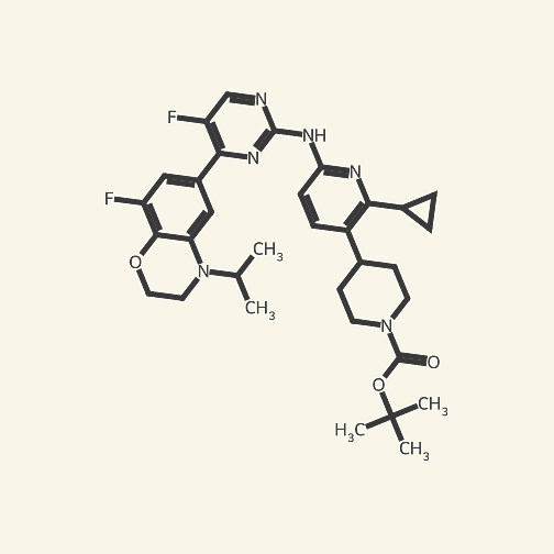 CC(C)N1CCOc2c(F)cc(-c3nc(Nc4ccc(C5CCN(C(=O)OC(C)(C)C)CC5)c(C5CC5)n4)ncc3F)cc21